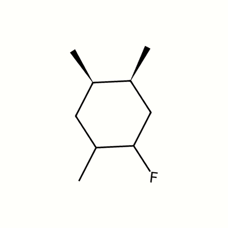 CC1C[C@@H](C)[C@@H](C)CC1F